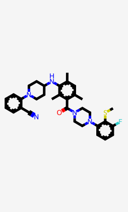 CSc1c(F)cccc1N1CCN(C(=O)c2c(C)cc(C)c(NC3CCN(c4ccccc4C#N)CC3)c2C)CC1